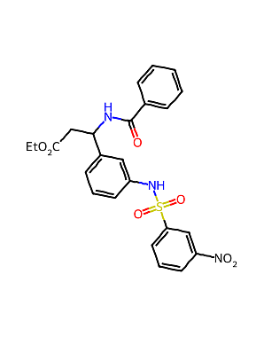 CCOC(=O)CC(NC(=O)c1ccccc1)c1cccc(NS(=O)(=O)c2cccc([N+](=O)[O-])c2)c1